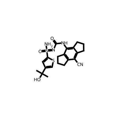 CC(C)(O)c1csc(S(N)(=O)=NC(=O)Nc2c3c(c(C#N)c4c2CCC4)CCC3)c1